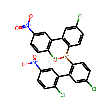 O=[N+]([O-])c1ccc(Cl)c(-c2cc(Cl)ccc2[S+]([O-])c2ccc(Cl)cc2-c2cc([N+](=O)[O-])ccc2Cl)c1